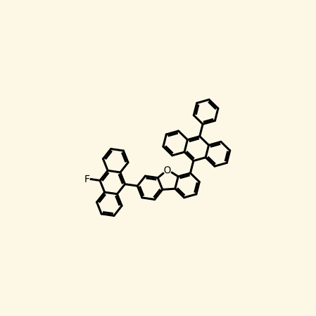 Fc1c2ccccc2c(-c2ccc3c(c2)oc2c(-c4c5ccccc5c(-c5ccccc5)c5ccccc45)cccc23)c2ccccc12